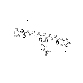 CN(C)CCCC(=O)OC(CCCCCC(=O)OC1CCCC1)CCCCCC(=O)OC1CCCC1